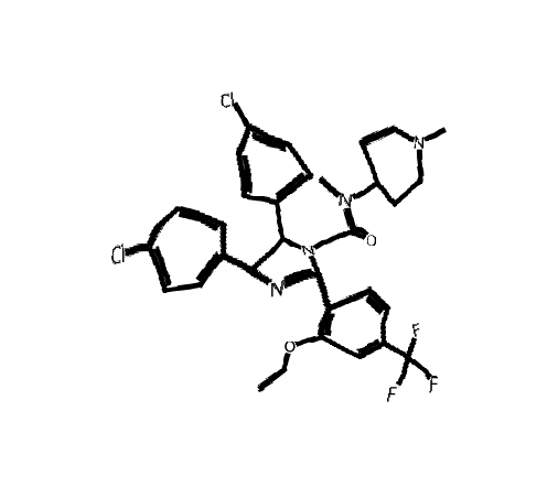 CCOc1cc(C(F)(F)F)ccc1C1=NC(c2ccc(Cl)cc2)C(c2ccc(Cl)cc2)N1C(=O)N(C)C1CCN(C)CC1